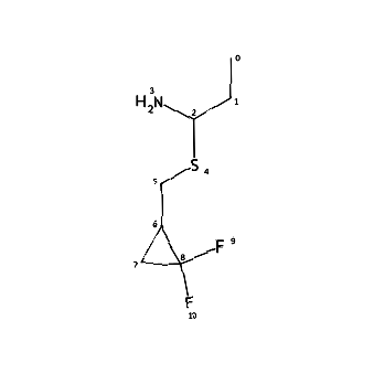 CCC(N)SCC1CC1(F)F